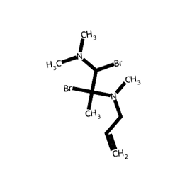 C=CCN(C)C(C)(Br)C(Br)N(C)C